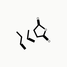 C=CC.C=CCC.O=C1CCC(=O)O1